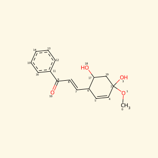 COC1(O)C=CC(C=CC(=O)c2ccccc2)C(O)C1